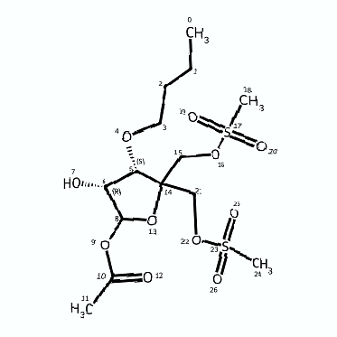 CCCCO[C@H]1[C@@H](O)C(OC(C)=O)OC1(COS(C)(=O)=O)COS(C)(=O)=O